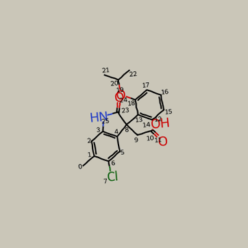 Cc1cc2c(cc1Cl)C(CC(=O)O)(c1ccccc1OC(C)C)C(=O)N2